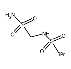 CC(C)S(=O)(=O)NCS(N)(=O)=O